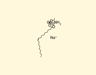 CCCCCCCC/C=C\CCCCCCCC(=O)OP(=O)([O-])OC(C)N.[Na+]